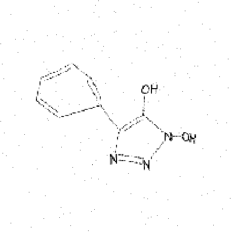 Oc1c(-c2ccccc2)nnn1O